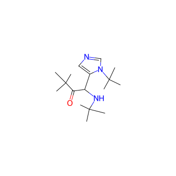 CC(C)(C)NC(C(=O)C(C)(C)C)c1cncn1C(C)(C)C